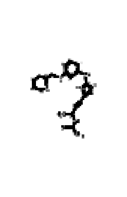 CC(=O)NC(C)C#Cc1cnc(Oc2cccc(OCC3CCCCO3)c2)s1